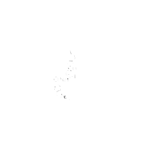 C/C=C\C=C/C1=CCC(NCC(O)CNC(=O)c2ccc3c(c2)CN(C(C)=O)CC3)C1